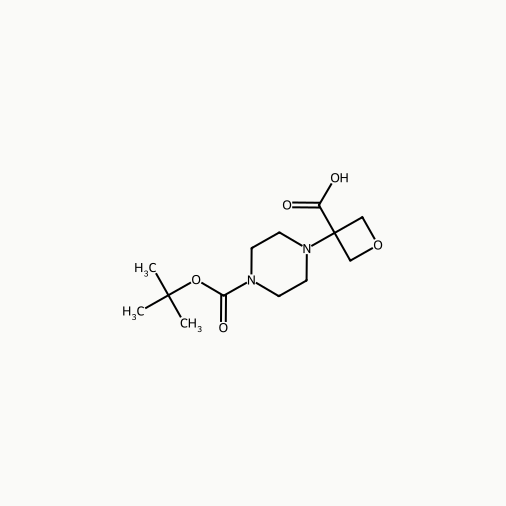 CC(C)(C)OC(=O)N1CCN(C2(C(=O)O)COC2)CC1